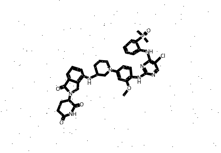 COc1cc(N2CCCC(Nc3cccc4c3CN(C3CCC(=O)NC3=O)C4=O)C2)ccc1Nc1ncc(Cl)c(Nc2ccccc2P(C)(C)=O)n1